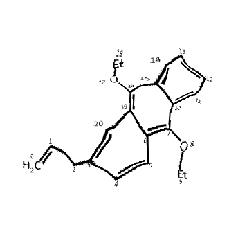 C=CCc1ccc2c(OCC)c3ccccc3c(OCC)c2c1